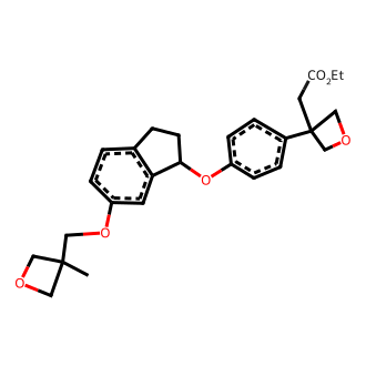 CCOC(=O)CC1(c2ccc(OC3CCc4ccc(OCC5(C)COC5)cc43)cc2)COC1